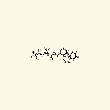 CC1(C)C(/C=C(\F)C(F)(F)Cl)C1C(=O)OCc1cccc2c1CCCc1ccccc1-2